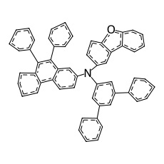 c1ccc(-c2cc(-c3ccccc3)cc(N(c3ccc4c(c3)c(-c3ccccc3)c(-c3ccccc3)c3ccccc34)c3ccc4oc5ccccc5c4c3)c2)cc1